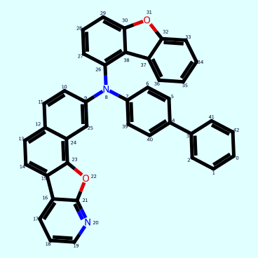 c1ccc(-c2ccc(N(c3ccc4ccc5c6cccnc6oc5c4c3)c3cccc4oc5ccccc5c34)cc2)cc1